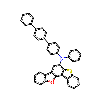 c1ccc(-c2ccc(-c3ccc(N(c4ccccc4)c4cc5c6ccccc6oc5c5c4sc4ccccc45)cc3)cc2)cc1